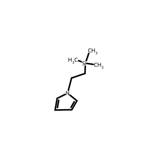 C[Si](C)(C)CCn1cccc1